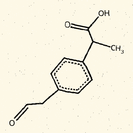 CC(C(=O)O)c1ccc(CC=O)cc1